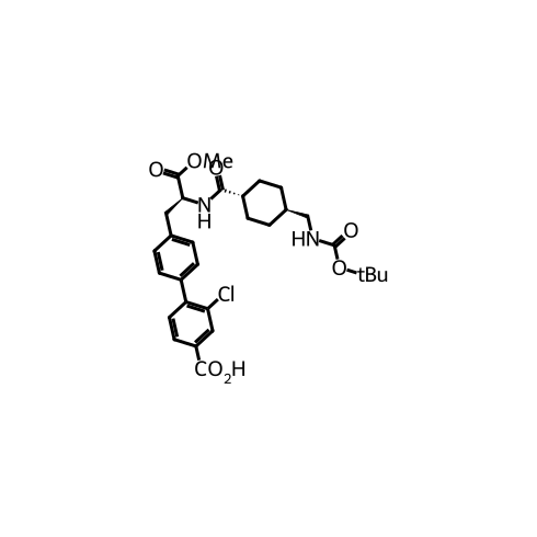 COC(=O)[C@H](Cc1ccc(-c2ccc(C(=O)O)cc2Cl)cc1)NC(=O)[C@H]1CC[C@H](CNC(=O)OC(C)(C)C)CC1